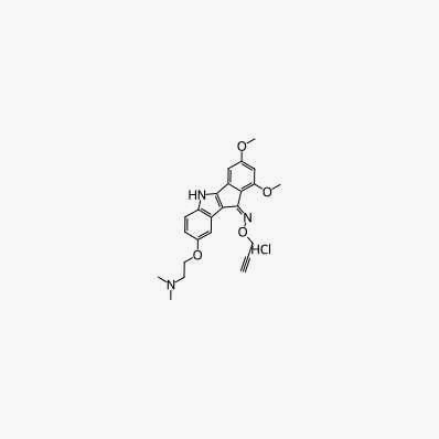 C#CCO/N=C1/c2c(OC)cc(OC)cc2-c2[nH]c3ccc(OCCN(C)C)cc3c21.Cl